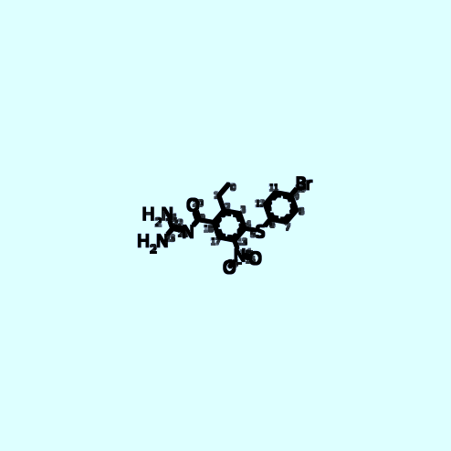 CCc1cc(Sc2ccc(Br)cc2)c([N+](=O)[O-])cc1C(=O)N=C(N)N